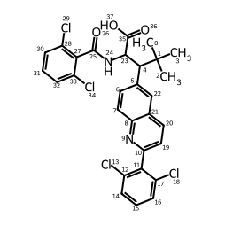 CC(C)(C)C(c1ccc2nc(-c3c(Cl)cccc3Cl)ccc2c1)C(NC(=O)c1c(Cl)cccc1Cl)C(=O)O